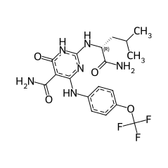 CC(C)C[C@@H](Nc1nc(Nc2ccc(OC(F)(F)F)cc2)c(C(N)=O)c(=O)[nH]1)C(N)=O